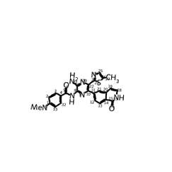 CNc1ccc(C(=O)Nc2nc(-c3ccc4c(=O)[nH]ccc4c3)c(-c3ncc(C)s3)nc2N)cc1